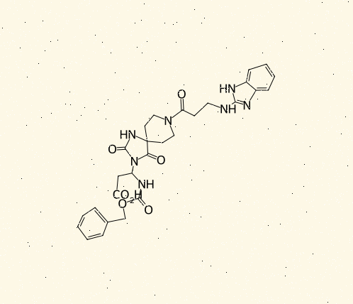 O=C(O)CC(NC(=O)OCc1ccccc1)N1C(=O)NC2(CCN(C(=O)CCNc3nc4ccccc4[nH]3)CC2)C1=O